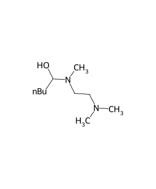 CCCCC(O)N(C)CCN(C)C